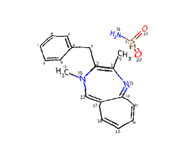 CC1=C(Cc2ccccc2)N(C)C=c2ccccc2=N1.N[SH](=O)=O